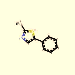 CC(C)(C)c1ncc(-c2ccccc2)s1